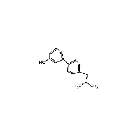 CC(C)Cc1ccc(-c2cccc(O)c2)cc1